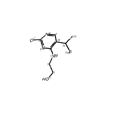 OCCNc1nc(Cl)ncc1C(F)F